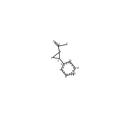 C=C(C)C1CC1c1ccncc1